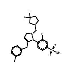 Cc1cccc(CC2=CCN(CN3CCC(F)(F)C3)N2c2ccc(S(N)(=O)=O)cc2F)c1